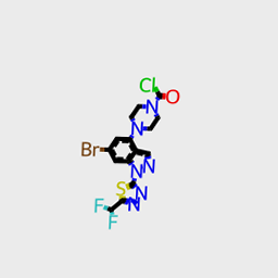 O=C(Cl)N1CCN(c2cc(Br)cc3c2cnn3-c2nnc(C(F)F)s2)CC1